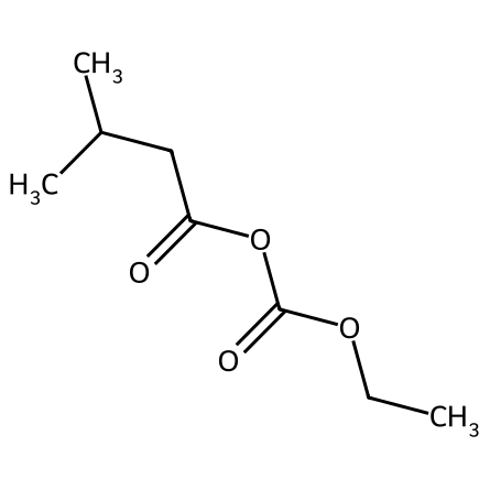 CCOC(=O)OC(=O)CC(C)C